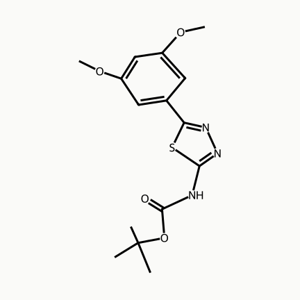 COc1cc(OC)cc(-c2nnc(NC(=O)OC(C)(C)C)s2)c1